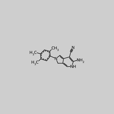 Cc1cc(C)c(N2C=C3C(=CNC(N)=C3C#N)C2)cc1C